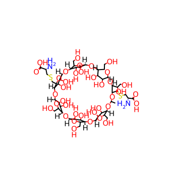 CC1OC(CSC[C@@H](N)C(=O)O)[C@H](C(O)CO)O[C@@H]2OC(CO)[C@@H](O[C@@H]3OC(CO)[C@@H](O[C@H]4OC(CSC[C@@H](N)C(=O)O)[C@@H](O[C@H]5OC(CO)[C@@H](O[C@H]6OC(CO)[C@@H](O[C@H]7OC(CO)[C@@H](O1)C(O)C7O)C(O)C6O)C(O)C5O)C(O)C4O)C(O)C3O)C(O)C2O